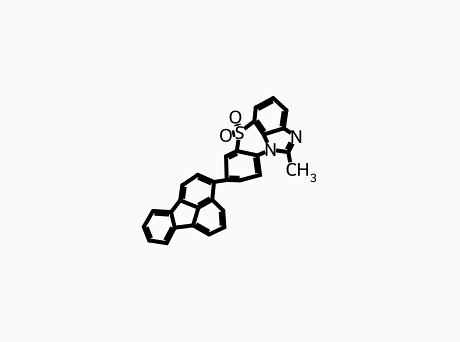 Cc1nc2cccc3c2n1-c1ccc(-c2ccc4c5c(cccc25)-c2ccccc2-4)cc1S3(=O)=O